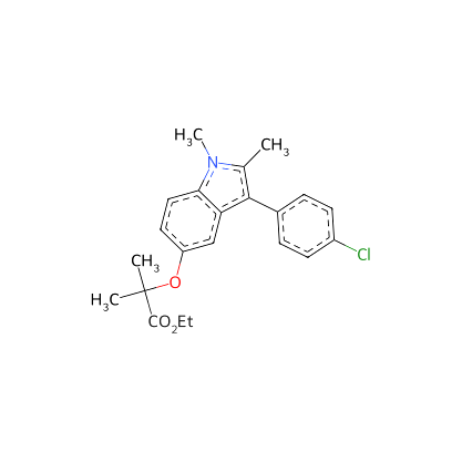 CCOC(=O)C(C)(C)Oc1ccc2c(c1)c(-c1ccc(Cl)cc1)c(C)n2C